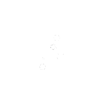 O=C(O)C(=O)O.c1ccc(-n2ncc3c2CCCC3CCN2Cc3ccccc3C2)cc1